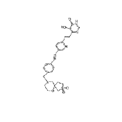 O=c1[nH]cnc(CCc2ccc(C#Cc3ccc(CN4CCOC5(CCS(=O)(=O)C5)C4)cc3)cn2)c1O